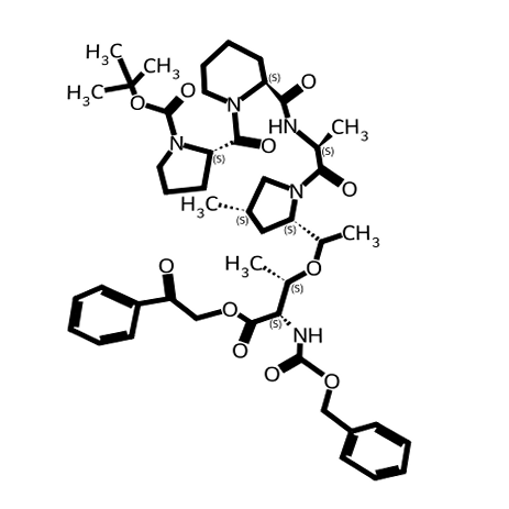 CC(O[C@@H](C)[C@H](NC(=O)OCc1ccccc1)C(=O)OCC(=O)c1ccccc1)[C@@H]1C[C@H](C)CN1C(=O)[C@H](C)NC(=O)[C@@H]1CCCCN1C(=O)[C@@H]1CCCN1C(=O)OC(C)(C)C